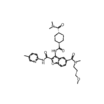 COCCCN(C)C(=O)c1ccc2oc(C(=O)Nc3ccc(C)cn3)c(NC(=O)[C@H]3CC[C@H](C(=O)N(C)C)CC3)c2c1